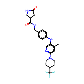 Cc1cc(N2CCC(C(F)(F)F)CC2)ncc1Nc1ccc(CNC(=O)C2CNC(=O)C2)cc1